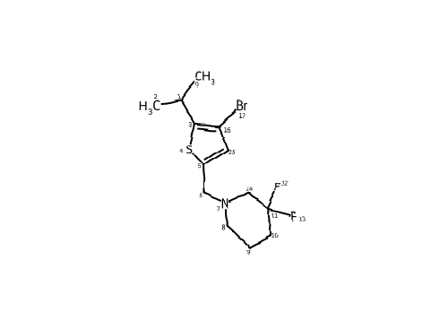 CC(C)c1sc(CN2CCCC(F)(F)C2)cc1Br